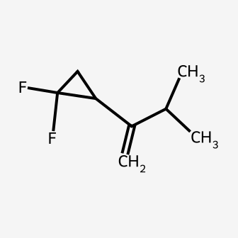 C=C(C(C)C)C1CC1(F)F